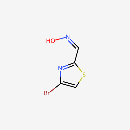 O/N=C\c1nc(Br)cs1